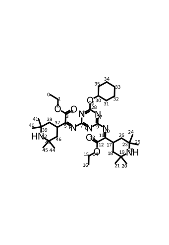 CCOC(=O)C(=Nc1nc(N=C(C(=O)OCC)C2CC(C)(C)NC(C)(C)C2)nc(OC2CCCCC2)n1)C1CC(C)(C)NC(C)(C)C1